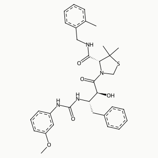 COc1cccc(NC(=O)N[C@@H](Cc2ccccc2)[C@H](O)C(=O)N2CSC(C)(C)[C@H]2C(=O)NCc2ccccc2C)c1